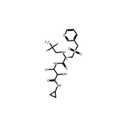 CCC(NC(=O)[C@H](CS(=O)(=O)Cc1cccnc1)NCC(F)(F)C(F)(F)F)C(O)C(=O)NC1CC1